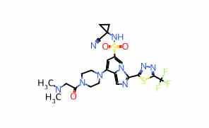 CN(C)CC(=O)N1CCN(c2cc(S(=O)(=O)NC3(C#N)CC3)cn3c(-c4nnc(C(F)(F)F)s4)ncc23)CC1